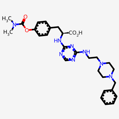 CN(C)C(=O)Oc1ccc(C[C@H](Nc2ncnc(NCCN3CCN(Cc4ccccc4)CC3)n2)C(=O)O)cc1